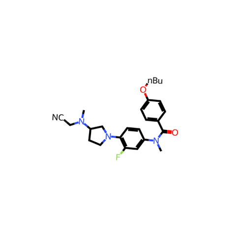 CCCCOc1ccc(C(=O)N(C)c2ccc(N3CCC(N(C)CC#N)C3)c(F)c2)cc1